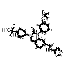 CC(C)(C)c1ccc(N(Cc2ccc(C(=O)Nc3nn[nH]n3)cc2)C(=O)Nc2cccc(SC(F)(F)F)c2)cc1